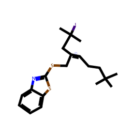 CC(C)(C)CC/C=C(\CSc1nc2ccccc2s1)CC(C)(C)I